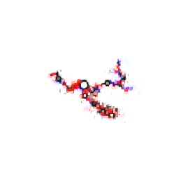 CCN(C(=O)OCc1ccc(NC(=O)[C@H](CCCNC(N)=O)NC(=O)[C@@H](NC(=O)[C@H](CCCCN)NC(C)=O)C(C)C)cc1)[C@H]1CO[C@@H](O[C@H]2[C@H](O[C@H]3C#C/C=C\C#C[C@]4(O)CC(=O)C(NC(=O)OC)=C3/C4=C\CSS[C@H](C)COC(=O)Nc3ccc4c(C)cc(=O)oc4c3)O[C@H](C)[C@@H](NO[C@H]3C[C@H](O)[C@H](SC(=O)c4c(C)c(I)c(O[C@@H]5O[C@@H](C)[C@H](O)[C@@H](OC)[C@H]5O)c(OC)c4OC)[C@@H](C)O3)[C@@H]2O)C[C@@H]1OC